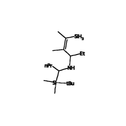 CCCC(NC(CC)C(C)=C(C)[SiH3])[Si](C)(C)C(C)(C)C